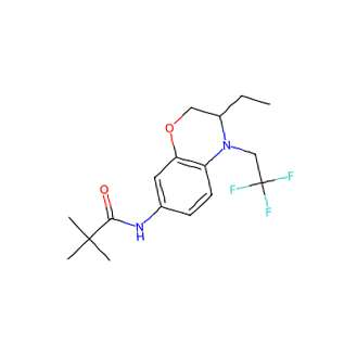 CCC1COc2cc(NC(=O)C(C)(C)C)ccc2N1CC(F)(F)F